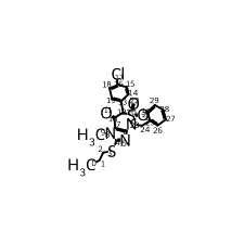 CCCSc1nc2c(n1C)C(=O)C(c1ccc(Cl)cc1)S(=O)(=O)N2Cc1ccccc1